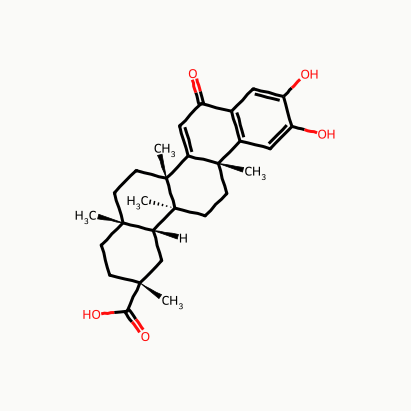 C[C@@]1(C(=O)O)CC[C@]2(C)CC[C@]3(C)C4=CC(=O)c5cc(O)c(O)cc5[C@]4(C)CC[C@@]3(C)[C@@H]2C1